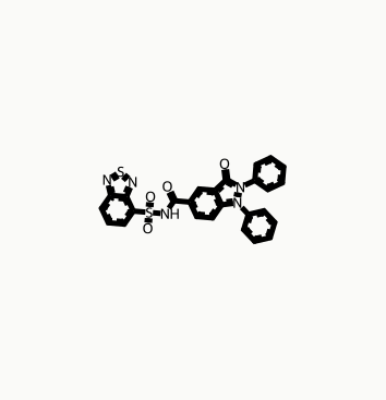 O=C(NS(=O)(=O)c1cccc2nsnc12)c1ccc2c(c1)c(=O)n(-c1ccccc1)n2-c1ccccc1